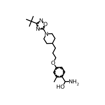 Cc1cc(OCCCC2CCN(c3nc(C(C)(C)C)no3)CC2)ccc1C(N)O